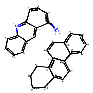 Nc1cccc2nc3ccccc3cc12.c1ccc2c(c1)ccc1c3c(ccc12)CCCC3